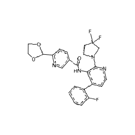 O=C(Nc1c(-c2ccccc2F)ccnc1N1CCC(F)(F)C1)c1ccc(C2OCCO2)nc1